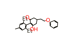 CCc1cc(C)cc(CC)c1C1=C(O)CC(CCOc2ccccc2)CC1=O